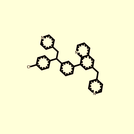 Clc1ccc(C(Cc2ccncc2)c2cccc(-c3cc(Cc4ccncc4)cc4cccnc34)c2)cc1